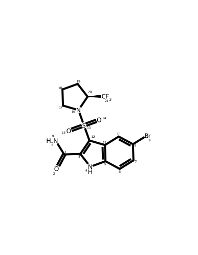 NC(=O)c1[nH]c2ccc(Br)cc2c1S(=O)(=O)N1CCC[C@H]1C(F)(F)F